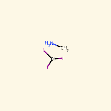 CN.[I][Bi]([I])[I]